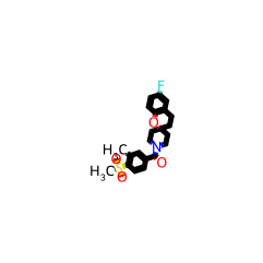 Cc1cc(C(=O)N2CCC3(CCc4cc(F)ccc4O3)CC2)ccc1S(C)(=O)=O